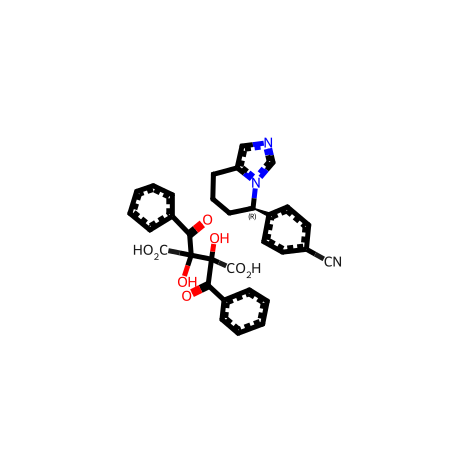 N#Cc1ccc([C@H]2CCCc3cncn32)cc1.O=C(O)C(O)(C(=O)c1ccccc1)C(O)(C(=O)O)C(=O)c1ccccc1